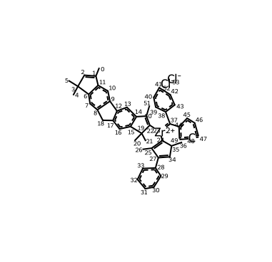 CC1=CC(C)(C)c2cc3c(cc21)-c1cc2c(cc1C3)C(C)(C)[C]([Zr+2]([C]1=C(C)C(c3ccccc3)=CC1C)=[C](c1ccccc1)c1ccccc1)=C2C.[Cl-].[Cl-]